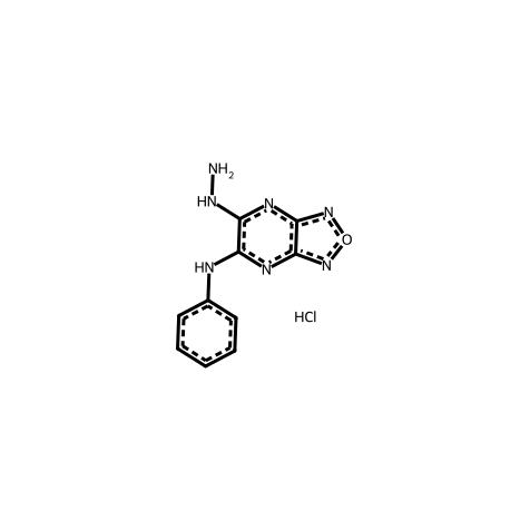 Cl.NNc1nc2nonc2nc1Nc1ccccc1